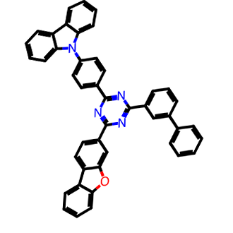 c1ccc(-c2cccc(-c3nc(-c4ccc(-n5c6ccccc6c6ccccc65)cc4)nc(-c4ccc5c(c4)oc4ccccc45)n3)c2)cc1